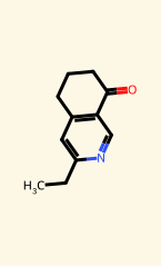 CCc1cc2c(cn1)C(=O)CCC2